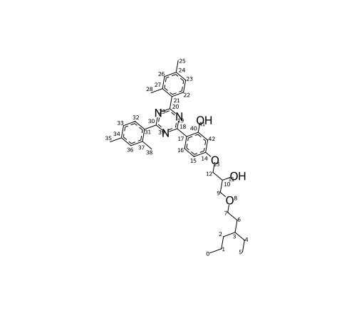 CCCC(CC)CCOCC(O)COc1ccc(-c2nc(-c3ccc(C)cc3C)nc(-c3ccc(C)cc3C)n2)c(O)c1